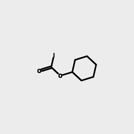 O=C(I)OC1CCCCC1